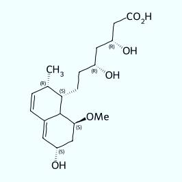 CO[C@H]1C[C@H](O)C=C2C=C[C@H](C)[C@H](CC[C@@H](O)C[C@@H](O)CC(=O)O)C21